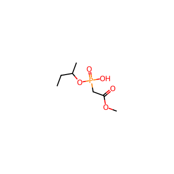 CCC(C)OP(=O)(O)CC(=O)OC